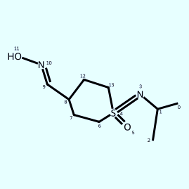 CC(C)N=S1(=O)CCC(C=NO)CC1